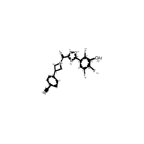 N#Cc1ccc(C2CN(C(=O)c3noc(-c4cc(F)c(F)c(O)c4F)n3)C2)cc1